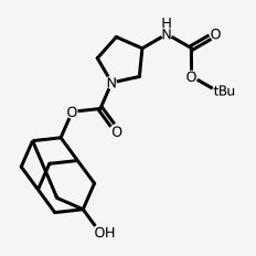 CC(C)(C)OC(=O)NC1CCN(C(=O)OC2C3CC4CC2CC(O)(C4)C3)C1